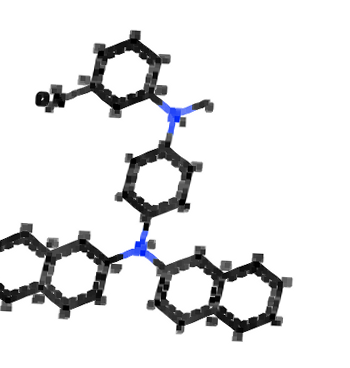 CN(c1ccc(N(c2ccc3ccccc3c2)c2ccc3ccccc3c2)cc1)c1cccc([N+](=O)[O-])c1